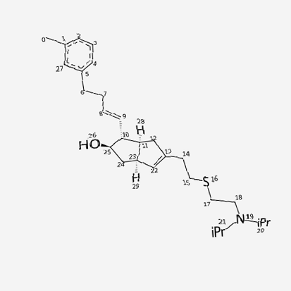 Cc1cccc(CC/C=C/[C@@H]2[C@H]3CC(CCSCCN(C(C)C)C(C)C)=C[C@H]3C[C@H]2O)c1